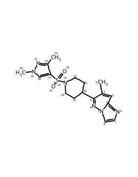 Cc1cc2nccn2nc1C1CCN(S(=O)(=O)c2cn(C)nc2C)CC1